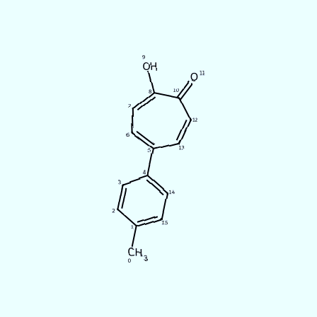 Cc1ccc(-c2ccc(O)c(=O)cc2)cc1